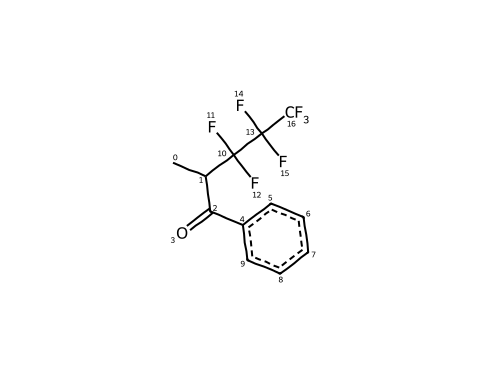 CC(C(=O)c1ccccc1)C(F)(F)C(F)(F)C(F)(F)F